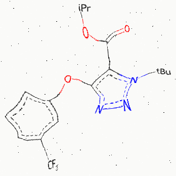 CC(C)OC(=O)c1c(Oc2cccc(C(F)(F)F)c2)nnn1C(C)(C)C